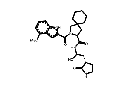 COc1cccc2[nH]c(C(=O)N3CC4(CCCCC4)CC3C(=O)NC(C#N)C[C@@H]3CCNC3=O)cc12